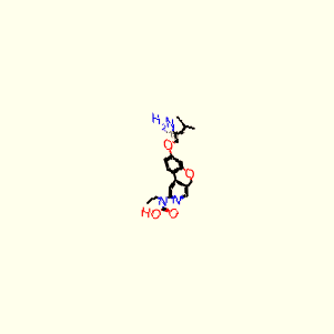 CCN(C(=O)O)c1cc2c(cn1)COc1cc(OC[C@@](C)(N)CC(C)C)ccc1-2